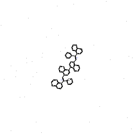 C(=C(/c1ccccc1)c1cccc2ccccc12)/c1ccc(-c2ccc(/C=C(\c3ccccc3)c3cccc4ccccc34)c3ccccc23)c2ccccc12